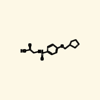 O=C(O)CNC(=O)c1ccc(OCC2CCCC2)cc1